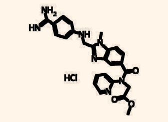 COC(=O)CN(C(=O)c1ccc2c(c1)nc(CNc1ccc(C(=N)N)cc1)n2C)c1ccccn1.Cl